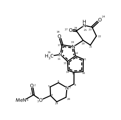 CNC(=O)OC1CCN(Cc2ccc3c(c2)n(C)c(=O)n3C2CCC(=O)NC2=O)CC1